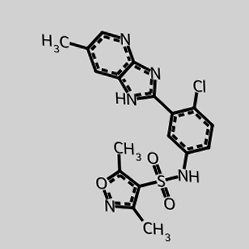 Cc1cnc2nc(-c3cc(NS(=O)(=O)c4c(C)noc4C)ccc3Cl)[nH]c2c1